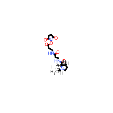 [2H]C(C)(C)N1CCC([2H])([2H])C1([2H])C(=O)NCCC(=O)NCCC(=O)ON1C(=O)CCC1=O